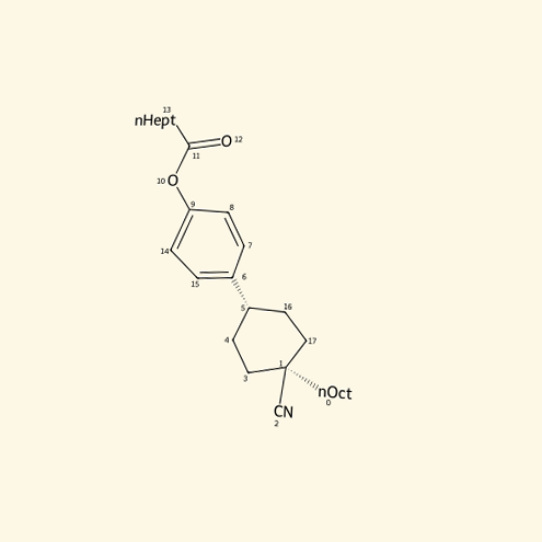 CCCCCCCC[C@]1(C#N)CC[C@H](c2ccc(OC(=O)CCCCCCC)cc2)CC1